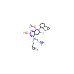 C=CCCN(CCNF)c1nc(O)nc2c(OC3CC3)c(-c3cccc4c3CC3CC43)c(Cl)cc12